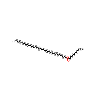 CCCCC=CCCCCCCCC(=O)OCCCCCCCCCCCCCCCCCCCCCCCCCCCCCCCCCCCCCCC(C)C